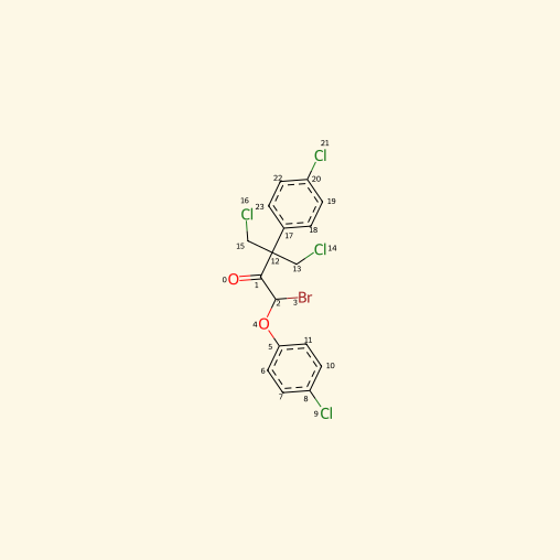 O=C(C(Br)Oc1ccc(Cl)cc1)C(CCl)(CCl)c1ccc(Cl)cc1